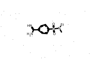 CCN(C)S(=O)(=O)c1ccc(C(=N)N)cc1